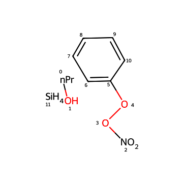 CCCO.O=[N+]([O-])OOc1ccccc1.[SiH4]